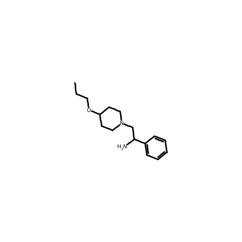 CCCOC1CCN(CC(N)c2ccccc2)CC1